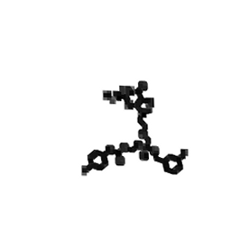 Nc1nc2c(ncn2CCOCP(=O)(OCOC(=O)Oc2ccc(F)cc2)OCc2cccc(F)c2)c(=O)[nH]1